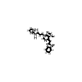 Cn1cnc2c1C(=Cc1sc3ccccc3[n+]1C)N=CN2CCCNC1=NCCN1